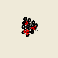 C=CN(c1cc(N(c2ccccc2)c2ccccc2)cc2c1B(C(C)[C@@H](C)[Si](c1ccccc1)(c1ccccc1)c1ccccc1)c1ccc([Si](c3ccccc3)(c3ccccc3)c3ccccc3)cc1N2c1c(-c2ccccc2)cccc1-c1ccccc1)c1c(-c2ccccc2)cccc1-c1ccccc1